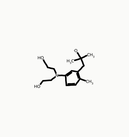 Cc1ccc(N(CCO)CCO)cc1CC(C)(C)[O]